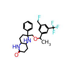 CC(OCC1(c2ccccc2)CCC2NC(=O)CCC2N1)c1cc(CF)cc(C(F)(F)F)c1